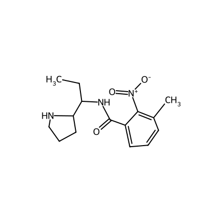 CCC(NC(=O)c1cccc(C)c1[N+](=O)[O-])C1CCCN1